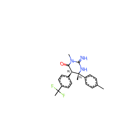 Cc1ccc([C@@]2(C)NC(=N)N(C)C(=O)[C@@H]2c2ccc(C(C)(F)F)cc2)cc1